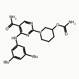 CC(C)(C)c1cc(Nc2nc(N3CCCC(OC(N)=O)C3)ncc2C(N)=O)cc(C(C)(C)C)c1